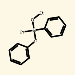 CCO[Si](Oc1ccccc1)(c1ccccc1)C(C)C